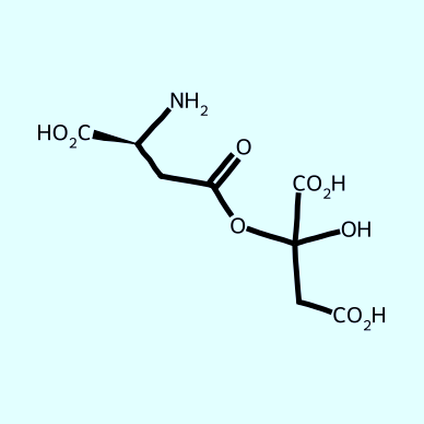 N[C@@H](CC(=O)OC(O)(CC(=O)O)C(=O)O)C(=O)O